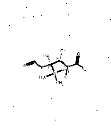 C[N+](C)(C)[C@@](O)(CC=O)[C@H](O)[C@H](O)C(=O)[O-]